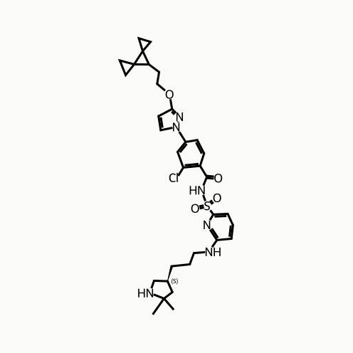 CC1(C)C[C@H](CCCNc2cccc(S(=O)(=O)NC(=O)c3ccc(-n4ccc(OCCC5C6(CC6)C56CC6)n4)cc3Cl)n2)CN1